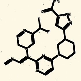 C=N/C=C(/c1nccc(N2CCCC(c3cc(C(N)=O)[nH]n3)C2)n1)N1C=C(C(F)F)N=CC1